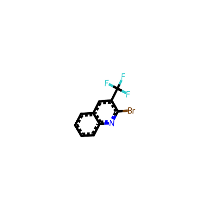 FC(F)(F)c1cc2ccccc2nc1Br